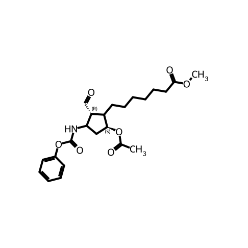 COC(=O)CCCCCCC1[C@@H](C=O)C(NC(=O)Oc2ccccc2)C[C@@H]1OC(C)=O